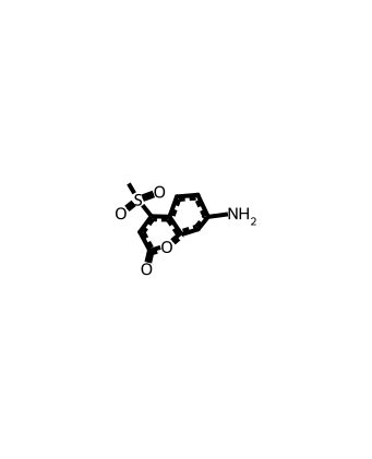 CS(=O)(=O)c1cc(=O)oc2cc(N)ccc12